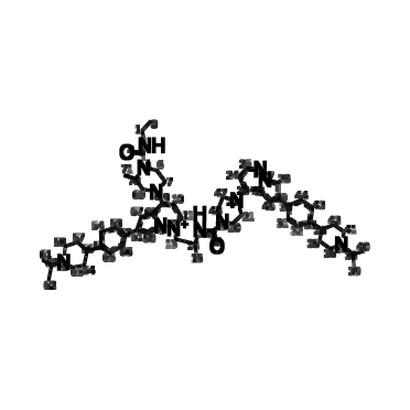 CCNC(=O)N1CCN(c2cc[n+](CC(C)NC(=O)N3CCN(c4ccnn5cc(-c6ccc(C7CCN(C(C)C)CC7)cc6)cc45)CC3)n3cc(-c4ccc(C5CCN(C(C)C)CC5)cc4)cc23)C[C@H]1C